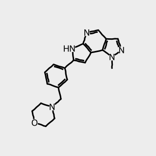 Cn1ncc2cnc3[nH]c(-c4cccc(CN5CCOCC5)c4)cc3c21